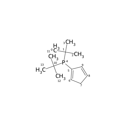 CC(C)(C)P(C1=CCC=C1)C(C)(C)C